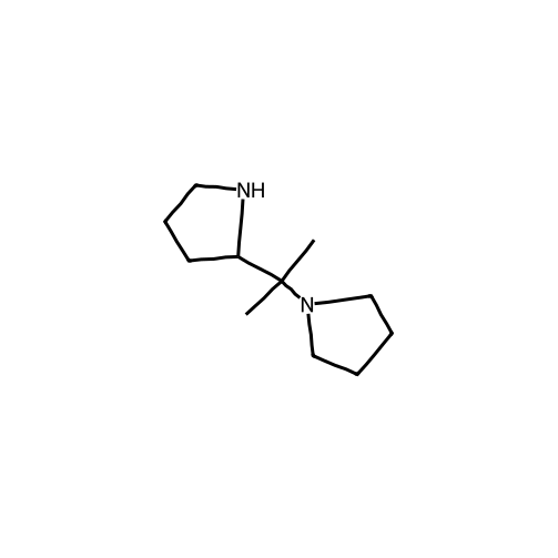 CC(C)(C1CCCN1)N1CCCC1